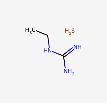 CCNC(=N)N.S